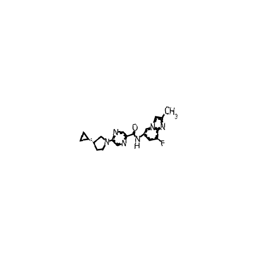 Cc1cn2cc(NC(=O)c3cnc(N4CC[C@H]([C]5CC5)C4)cn3)cc(F)c2n1